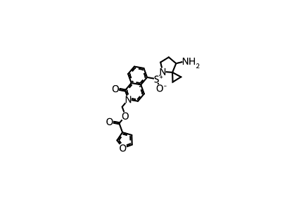 NC1CCN([S+]([O-])c2cccc3c(=O)n(COC(=O)c4ccoc4)ccc23)C12CC2